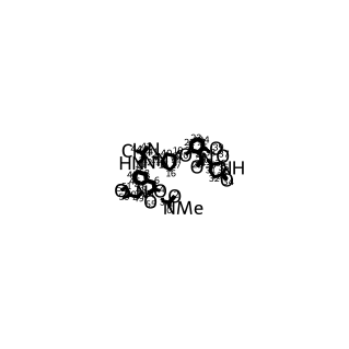 CNC(=O)COc1cc2cc(Nc3nc(N4CCC[C@H](COc5cccc6c5C(=O)N(C5CCC(=O)NC5=O)C6=O)C4)ncc3Cl)ccc2n(CC2COC2)c1=O